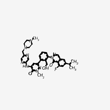 C=C(C)c1cc(F)c2c(=O)n(-c3cccc(-c4cc(Nc5cnc(CN6CCN(C)CC6)cn5)c(=O)n(C)n4)c3CO)ncc2c1